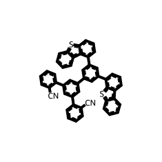 N#Cc1ccccc1-c1cc(-c2cc(-c3cccc4c3sc3ccccc34)cc(-c3cccc4sc5ccccc5c34)c2)cc(-c2ccccc2C#N)c1